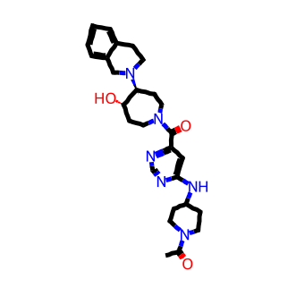 CC(=O)N1CCC(Nc2cc(C(=O)N3CC[C@H](O)[C@@H](N4CCc5ccccc5C4)CC3)ncn2)CC1